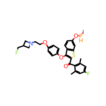 Cc1cc(F)cc(C)c1C(=O)c1sc2cc(OPI)ccc2c1Oc1ccc(OCCN2CC(CF)C2)cc1